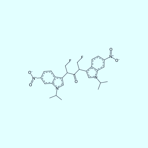 CC(C)n1cc(C(CF)C(=O)C(CF)c2cn(C(C)C)c3cc([N+](=O)[O-])ccc23)c2ccc([N+](=O)[O-])cc21